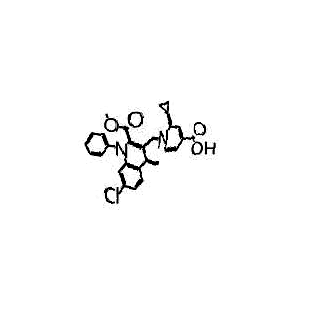 C=C1C(CN2C=CC(C(=O)O)=CC2=C2CC2)=C(C(=O)OC)N(c2ccccc2)c2cc(Cl)ccc21